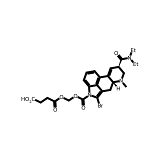 CCN(CC)C(=O)[C@@H]1C=C2c3cccc4c3c(c(Br)n4C(=O)OCOC(=O)CCC(=O)O)C[C@H]2N(C)C1